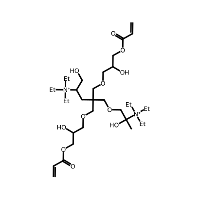 C=CC(=O)OCC(O)COCC(COCC(O)COC(=O)C=C)(COCC(C)(O)[N+](CC)(CC)CC)CC(CO)[N+](CC)(CC)CC